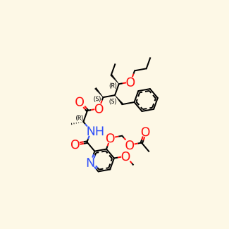 CCCO[C@H](CC)[C@@H](Cc1ccccc1)[C@H](C)OC(=O)[C@@H](C)NC(=O)c1nccc(OC)c1OCOC(C)=O